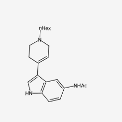 CCCCCCN1CC=C(c2c[nH]c3ccc(NC(C)=O)cc23)CC1